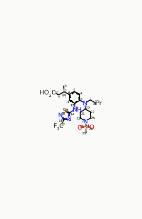 CC(C)CN(c1ccc([C@H](C)CC(=O)O)cc1Nc1nc(C(F)(F)F)ns1)C1CCN(S(C)(=O)=O)CC1